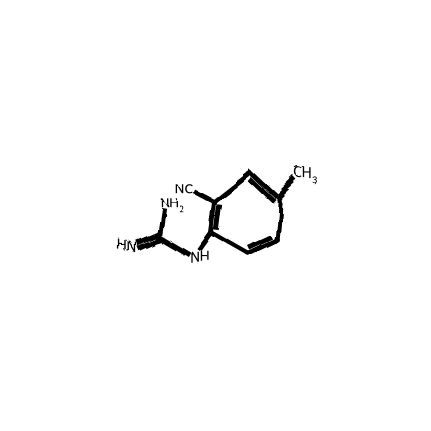 Cc1ccc(NC(=N)N)c(C#N)c1